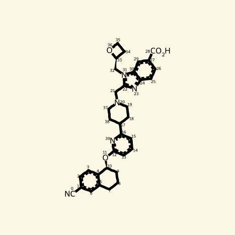 N#Cc1ccc2c(c1)CCC[C@@H]2Oc1cccc(C2CCN(Cc3nc4ccc(C(=O)O)cc4n3C[C@@H]3CCO3)CC2)n1